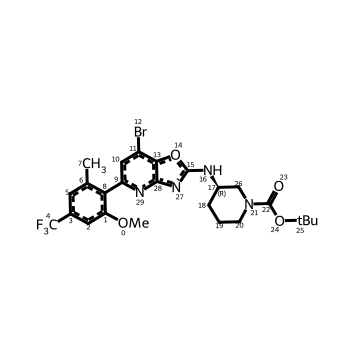 COc1cc(C(F)(F)F)cc(C)c1-c1cc(Br)c2oc(N[C@@H]3CCCN(C(=O)OC(C)(C)C)C3)nc2n1